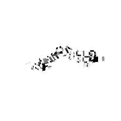 O=C(C[C@H]1CC[C@H](COc2cn[nH]c(=O)c2Cl)O1)N1CCN(c2ncc(C(F)(F)F)cn2)CC1